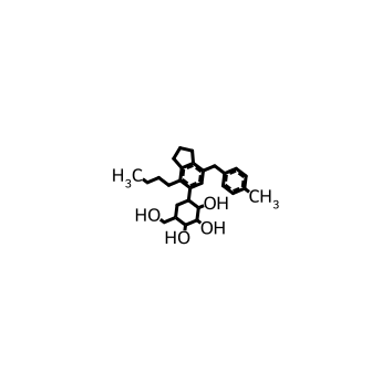 CCCCc1c(C2CC(CO)C(O)C(O)C2O)cc(Cc2ccc(C)cc2)c2c1CCC2